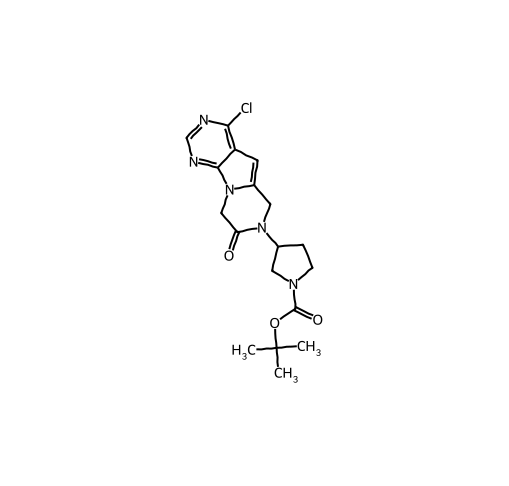 CC(C)(C)OC(=O)N1CCC(N2Cc3cc4c(Cl)ncnc4n3CC2=O)C1